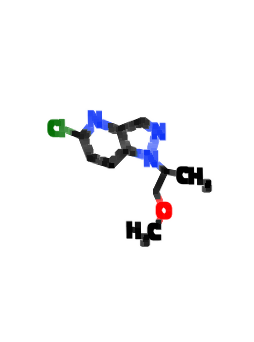 COCC(C)n1ncc2nc(Cl)ccc21